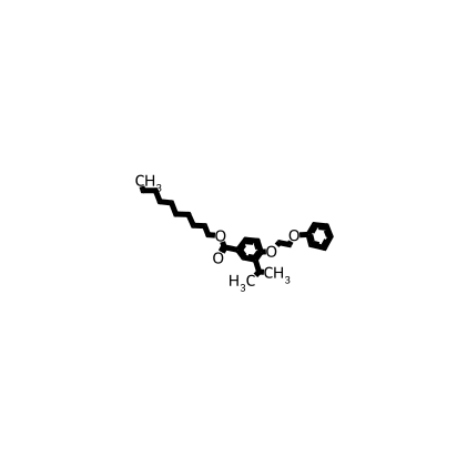 CCCCCCCCCCOC(=O)c1ccc(OCCOc2ccccc2)c(C(C)C)c1